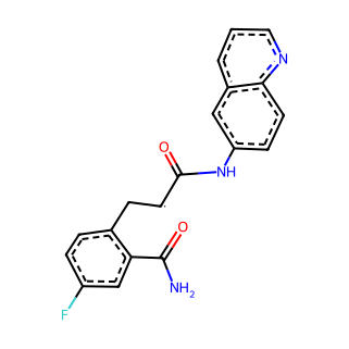 NC(=O)c1cc(F)ccc1C[CH]C(=O)Nc1ccc2ncccc2c1